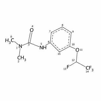 CN(C)C(=O)Nc1cccc(OC(F)C(F)(F)F)c1